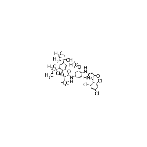 CCC(Oc1ccc(C(C)(C)CC)cc1C(C)(C)CC)C(=O)Nc1ccc(Nc2cc(=O)n(-c3c(Cl)cc(Cl)cc3Cl)[nH]2)c(OC)c1